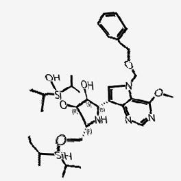 COc1ncnc2c([C@@H]3N[C@H](CO[SiH](C(C)C)C(C)C)[C@@H](O[Si](O)(C(C)C)C(C)C)[C@H]3O)cn(COCc3ccccc3)c12